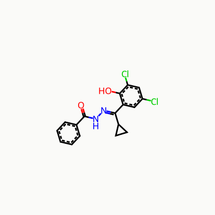 O=C(N/N=C(/c1cc(Cl)cc(Cl)c1O)C1CC1)c1ccccc1